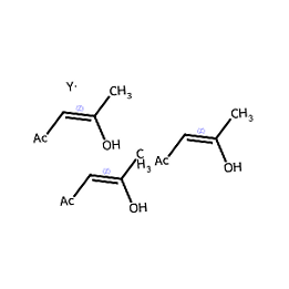 CC(=O)/C=C(/C)O.CC(=O)/C=C(/C)O.CC(=O)/C=C(/C)O.[Y]